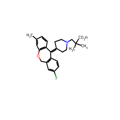 Cc1ccc2c(c1)OCc1cc(F)ccc1C2=C1CCN(CC(C)(C)C(=O)O)CC1